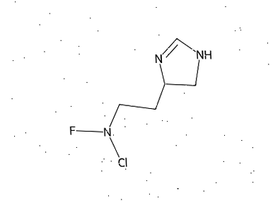 FN(Cl)CCC1CNC=N1